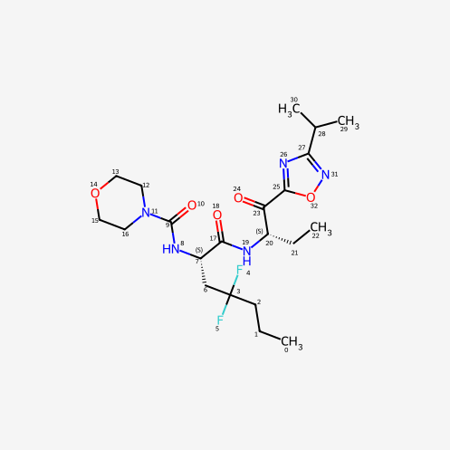 CCCC(F)(F)C[C@H](NC(=O)N1CCOCC1)C(=O)N[C@@H](CC)C(=O)c1nc(C(C)C)no1